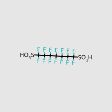 O=S(=O)(O)C(F)(F)C(F)(F)C(F)(F)C(F)(F)C(F)(F)C(F)(F)C(F)(F)S(=O)(=O)O